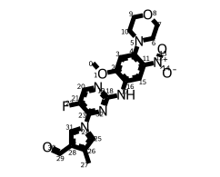 COc1cc(N2CCOCC2)c([N+](=O)[O-])cc1Nc1ncc(F)c(-n2cc(C)c(C=O)c2)n1